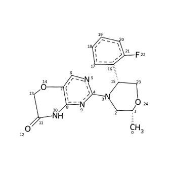 C[C@@H]1CN(c2ncc3c(n2)NC(=O)CO3)[C@H](c2ccccc2F)CO1